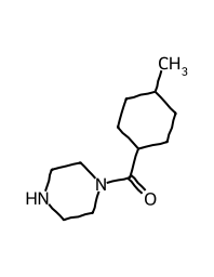 CC1CCC(C(=O)N2CCNCC2)CC1